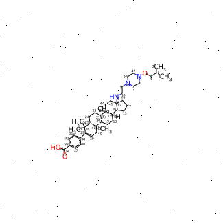 CC(C)CON1CCN(CCN[C@]23CCCC2[C@H]2CCC4[C@@](C)(CCC5C(C)(C)C(c6ccc(C(=O)O)cc6)=CC[C@@]54C)C2CC3)CC1